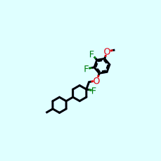 COc1ccc(OCC2(F)CCC(C3CCC(C)CC3)CC2)c(F)c1F